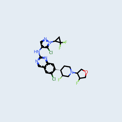 FC1COCC1N1CC[C@@H](c2cc3nc(Nc4cnn(C5CC5(F)F)c4Cl)ncc3cc2Cl)[C@H](F)C1